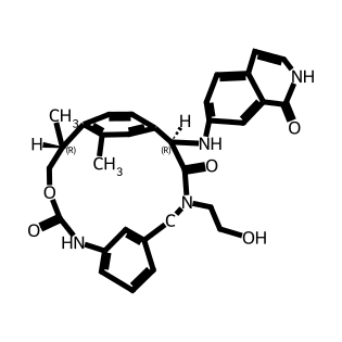 Cc1cc2ccc1[C@@H](C)COC(=O)Nc1cccc(c1)CN(CCO)C(=O)[C@@H]2Nc1ccc2cc[nH]c(=O)c2c1